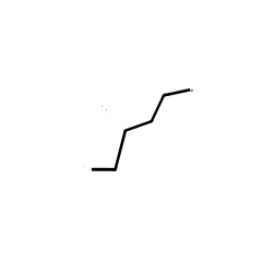 NC[C@H](N)CCI